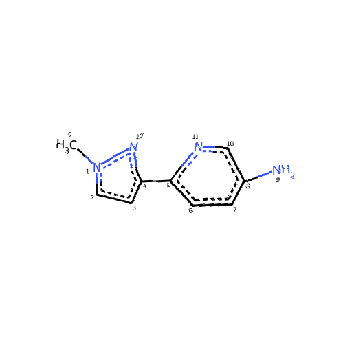 Cn1ccc(-c2ccc(N)cn2)n1